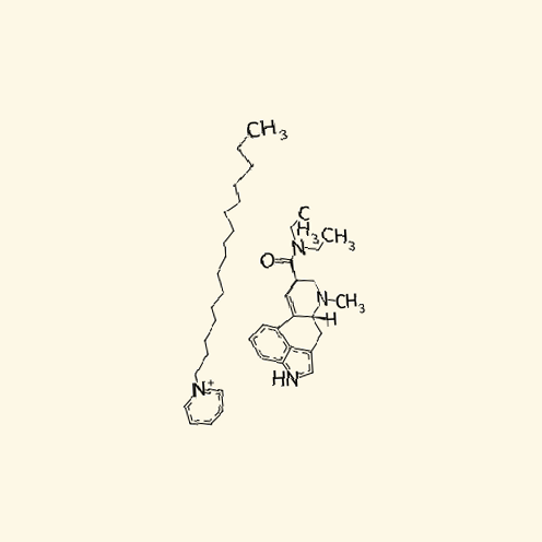 CCCCCCCCCCCCCCCC[n+]1ccccc1.CCN(CC)C(=O)[C@@H]1C=C2c3cccc4[nH]cc(c34)C[C@H]2N(C)C1